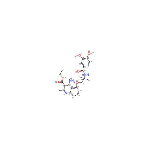 CCOC(=O)c1c(C)nc2cccc(OCC(C)(C)NC(=O)c3ccc(OC)c(OC)c3)c2c1N